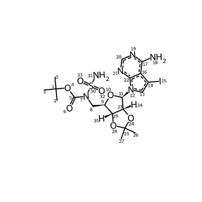 CC(C)(C)OC(=O)N(C[C@H]1O[C@@H](n2cc(I)c3c(N)ncnc32)[C@@H]2OC(C)(C)O[C@@H]21)S(N)(=O)=O